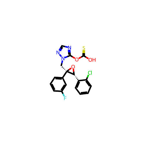 OC(=S)Oc1ncnn1C[C@]1(c2cccc(F)c2)O[C@@H]1c1ccccc1Cl